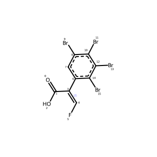 O=C(O)/C(=C\F)c1cc(Br)c(Br)c(Br)c1Br